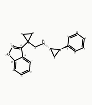 c1ccc([C@H]2C[C@@H]2NCC2(c3noc4ccccc34)CC2)cc1